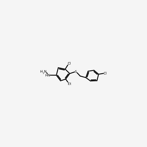 CCc1cc(NN)cc(Cl)c1SCc1ccc(Cl)cc1